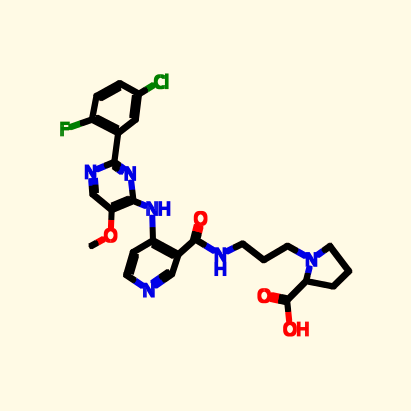 COc1cnc(-c2cc(Cl)ccc2F)nc1Nc1ccncc1C(=O)NCCCN1CCCC1C(=O)O